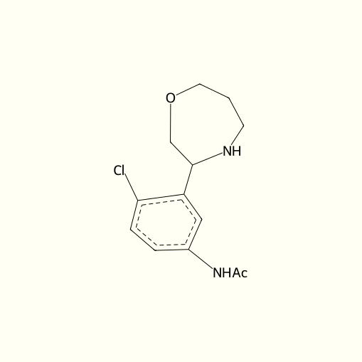 CC(=O)Nc1ccc(Cl)c(C2COCCCN2)c1